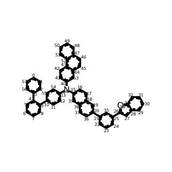 c1ccc(-c2ccccc2-c2ccc(N(c3ccc4cc(-c5cccc(-c6cc7ccccc7o6)c5)ccc4c3)c3ccc4c(ccc5ccccc54)c3)cc2)cc1